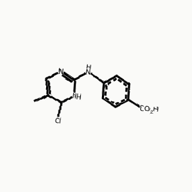 CC1=CN=C(Nc2ccc(C(=O)O)cc2)NC1Cl